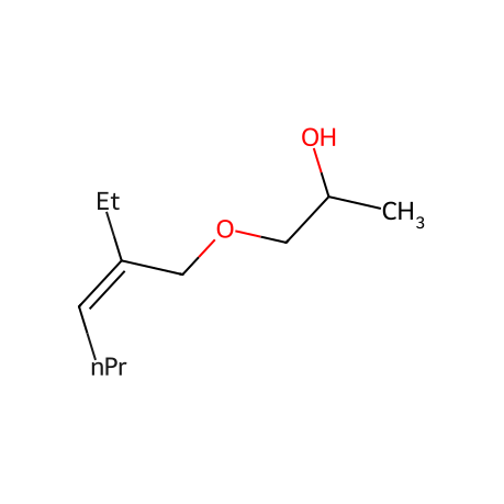 CCCC=C(CC)COCC(C)O